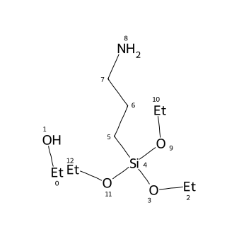 CCO.CCO[Si](CCCN)(OCC)OCC